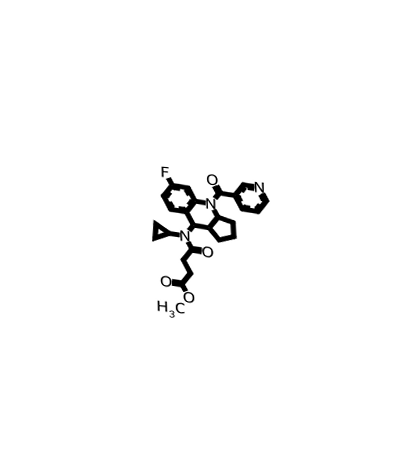 COC(=O)CCC(=O)N(C1CC1)C1c2ccc(F)cc2N(C(=O)c2cccnc2)C2CCCC21